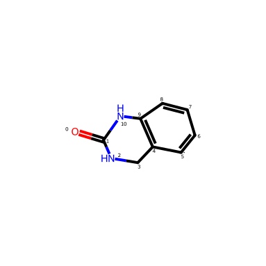 O=C1NCc2[c]cccc2N1